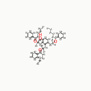 CCCCCC(OC(C)(C)Cc1ccc(O)c(CC(C)(C)OC(CCCCC)c2ccccc2)c1CC(C)(C)OC(CCCCC)c1ccccc1)c1ccccc1